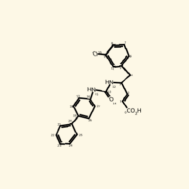 O=C(O)C=CC(Cc1cccc(Cl)c1)NC(=O)Nc1ccc(-c2ccccc2)cc1